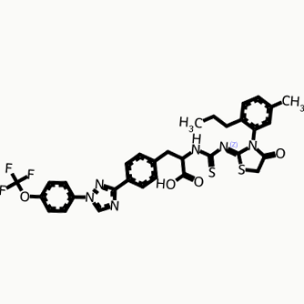 CCCc1ccc(C)cc1N1C(=O)CS/C1=N\C(=S)NC(Cc1ccc(-c2ncn(-c3ccc(OC(F)(F)F)cc3)n2)cc1)C(=O)O